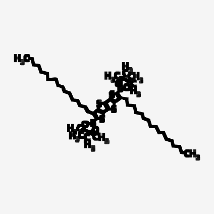 CCCCCCCCCCCCCCCCCc1c(B2OC(C)(C)C(C)(C)O2)sc2c1sc1c3sc(B4OC(C)(C)C(C)(C)O4)c(CCCCCCCCCCCCCCCCC)c3sc21